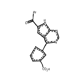 CC(C)C(=O)c1cc2c(-c3cccc(C(=O)O)c3)ncnc2[nH]1